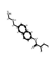 CCC(C)C(=O)Oc1ccc2cc(COCO)ccc2c1